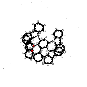 c1cncc(-c2ccccc2-c2c(-n3c4ccccc4c4ccccc43)c(-n3c4ccccc4c4ccccc43)nc(-n3c4ccccc4c4ccccc43)c2-n2c3ccccc3c3ccccc32)c1